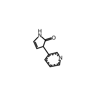 O=C1NC=CC1c1cccnc1